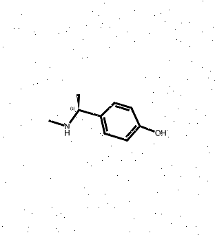 CN[C@@H](C)c1ccc(O)cc1